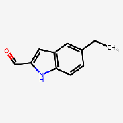 CCc1ccc2[nH]c(C=O)cc2c1